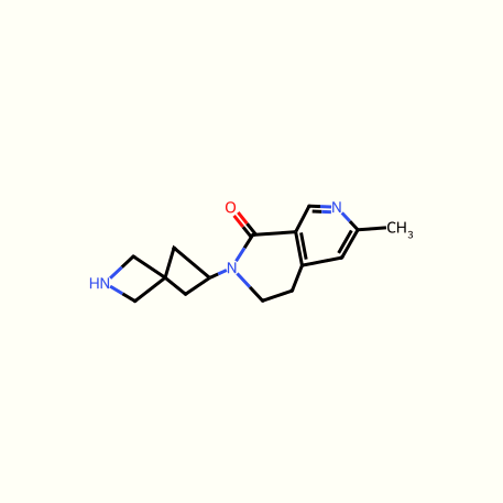 Cc1cc2c(cn1)C(=O)N(C1CC3(CNC3)C1)CC2